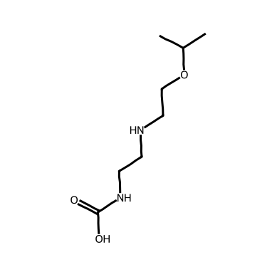 CC(C)OCCNCCNC(=O)O